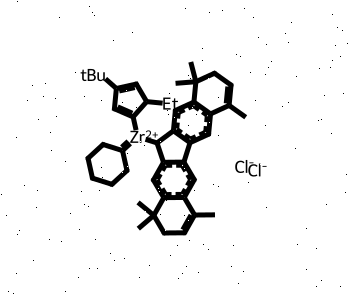 CCC1C=C(C(C)(C)C)C=[C]1[Zr+2](=[C]1CCCCC1)[CH]1c2cc3c(cc2-c2cc4c(cc21)C(C)(C)CC=C4C)C(C)=CCC3(C)C.[Cl-].[Cl-]